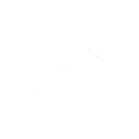 Cc1ccc(OS(=O)(=O)Oc2ccccc2C2=CC(C)(C)c3ccccc32)cc1